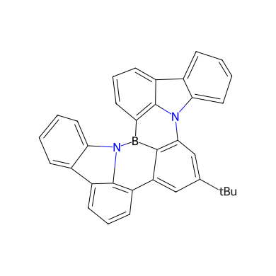 CC(C)(C)c1cc2c3c(c1)-n1c4ccccc4c4cccc(c41)B3n1c3ccccc3c3cccc-2c31